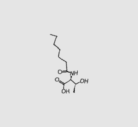 CCCCCCC(=O)N[C@H](C(=O)O)[C@H](C)O